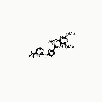 COc1nc(OC)c(NC(=O)c2ccc(Oc3nccc([Si](C)(C)C)n3)o2)c(OC)n1